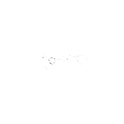 CC(C)c1nn(C2CC3(C2)CN(C2(C)CCOCC2)C3)cc1[N+](=O)[O-]